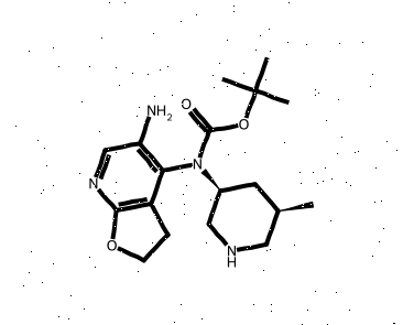 C[C@H]1CNC[C@@H](N(C(=O)OC(C)(C)C)c2c(N)cnc3c2CCO3)C1